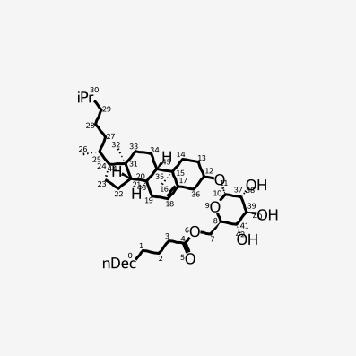 CCCCCCCCCCCCCC(=O)OC[C@H]1O[C@H](OC2CC[C@@]3(C)C(=CC[C@H]4[C@@H]5CC[C@H]([C@H](C)CCCC(C)C)[C@@]5(C)CC[C@@H]43)C2)[C@H](O)[C@@H](O)[C@@H]1O